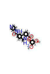 COc1cc(OC)cc(OC(=O)c2cccc(-c3cc(C(=O)Nc4ccncc4)ccc3C(C)N)c2)c1